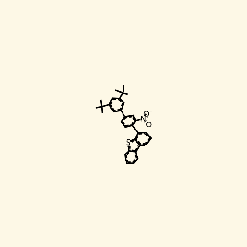 CC(C)(C)c1cc(-c2ccc(-c3cccc4c3sc3ccccc34)c([N+](=O)[O-])c2)cc(C(C)(C)C)c1